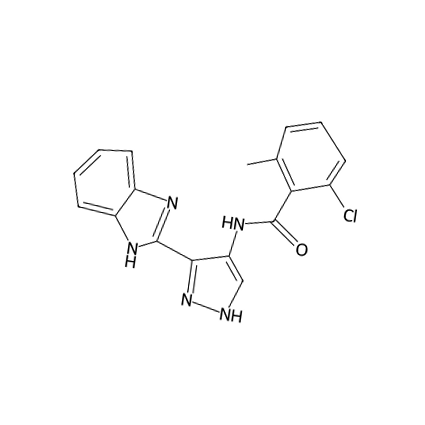 Cc1cccc(Cl)c1C(=O)Nc1c[nH]nc1-c1nc2ccccc2[nH]1